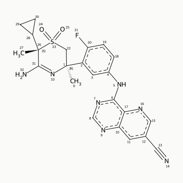 C[C@@]1(c2cc(Nc3ncnc4cc(C#N)cnc34)ccc2F)CS(=O)(=O)[C@@](C)(C2CC2)C(N)=N1